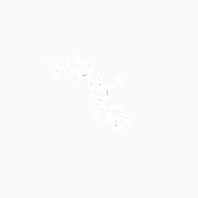 C[C@@H]1c2ccccc2CCN1C(=O)c1cc(C2CC2)c2nc(-c3ccc4c(c3F)C=C(C(=O)O)CO4)cn2c1